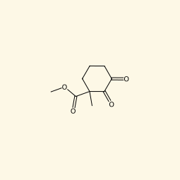 COC(=O)C1(C)CCCC(=O)C1=O